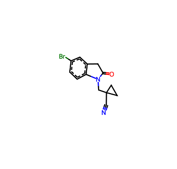 N#CC1(CN2C(=O)Cc3cc(Br)ccc32)CC1